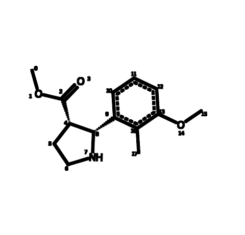 COC(=O)[C@H]1CCN[C@H]1c1cccc(OC)c1C